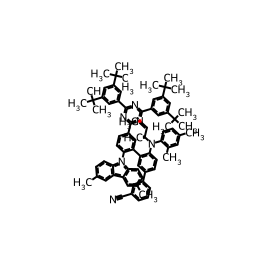 C=C(/C=C\C)N(c1ccc(C)cc1C)c1ccc(-c2cccc(C#N)c2)cc1-c1cc(-c2nc(-c3cc(C(C)(C)C)cc(C(C)(C)C)c3)nc(-c3cc(C(C)(C)C)cc(C(C)(C)C)c3)n2)ccc1-n1c2ccc(C)cc2c2cc(C)ccc21